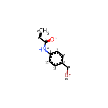 C=CC(=O)Nc1ccc(CBr)cc1